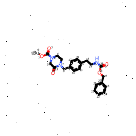 CC(C)(C)OC(=O)N1CCN(Cc2ccc(CCNC(=O)OCc3ccccc3)cc2)C(=O)C1